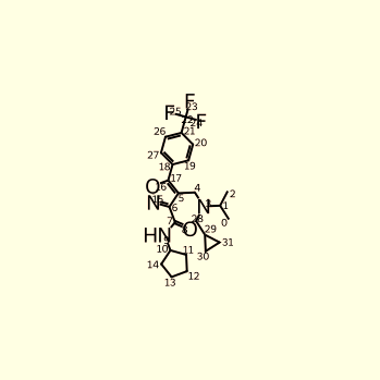 CC(C)N(Cc1c(C(=O)NC2CCCC2)noc1-c1ccc(C(F)(F)F)cc1)CC1CC1